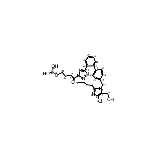 CCCCc1nc(Cl)c(CO)n1Cc1ccc(-c2ccccc2-c2nnn(C(=O)CCCON(O)O)n2)cc1